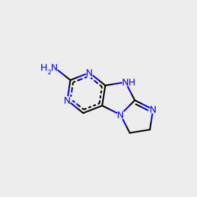 Nc1ncc2c(n1)NC1=NCCN12